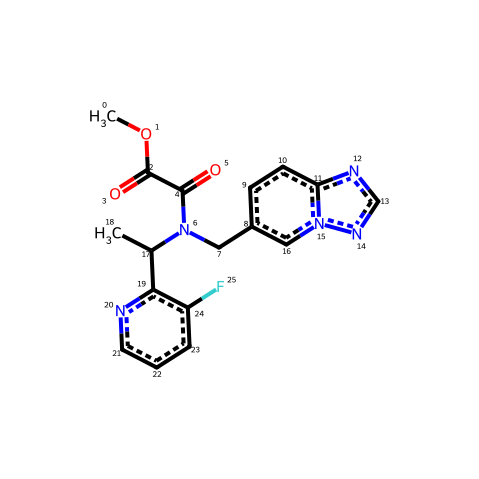 COC(=O)C(=O)N(Cc1ccc2ncnn2c1)C(C)c1ncccc1F